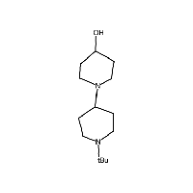 CC(C)(C)N1CCC(N2CCC(O)CC2)CC1